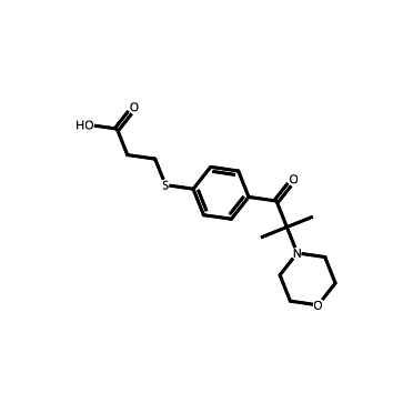 CC(C)(C(=O)c1ccc(SCCC(=O)O)cc1)N1CCOCC1